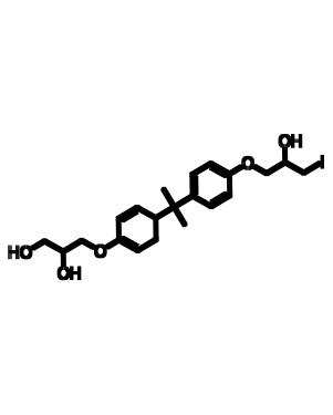 CC(C)(c1ccc(OCC(O)CI)cc1)C1C=CC(OCC(O)CO)=CC1